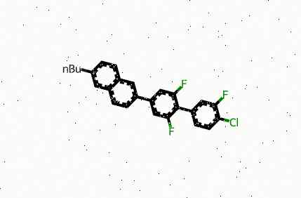 CCCCc1ccc2cc(-c3cc(F)c(-c4ccc(Cl)c(F)c4)c(F)c3)ccc2c1